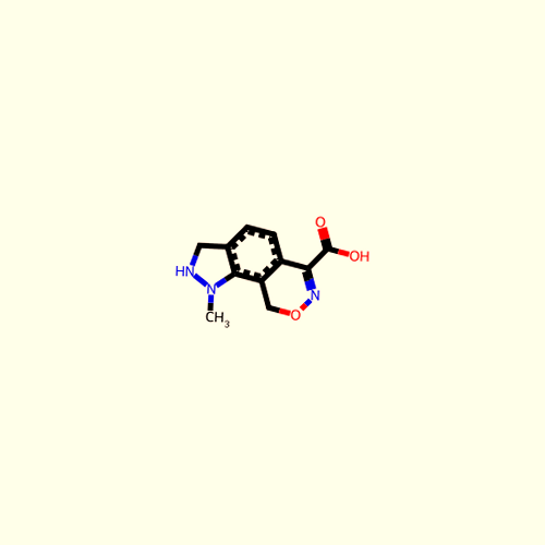 CN1NCc2ccc3c(c21)CON=C3C(=O)O